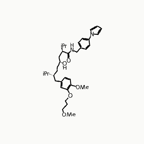 COCCCOc1cc(C[C@@H](CC[C@@H](O)C[C@H](C(=O)NCc2ccc(-n3cccc3)cc2)C(C)C)C(C)C)ccc1OC